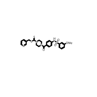 COc1cccc(S(=O)(=O)Nc2ccc(C(=O)N3CCN(C(=S)SCc4cccnc4)CC3)cc2)c1